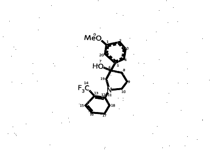 COc1cccc(C2(O)CCCN(C3=C(C(F)(F)F)C=CC[CH]3)C2)c1